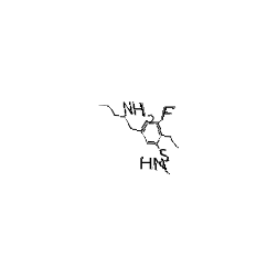 CCCC(N)Cc1cc(F)c(CC)c(SNC)c1